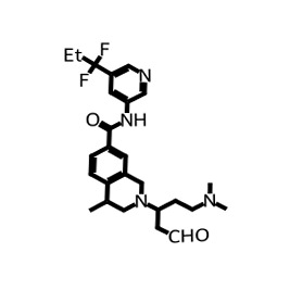 CCC(F)(F)c1cncc(NC(=O)c2ccc3c(c2)CN(C(CC=O)CCN(C)C)CC3C)c1